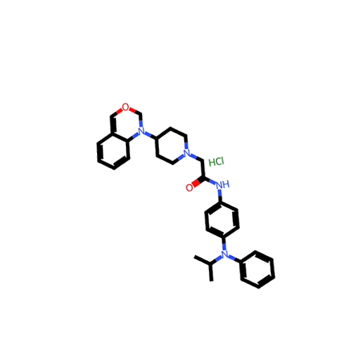 CC(C)N(c1ccccc1)c1ccc(NC(=O)CN2CCC(N3COC=C4C=CC=CC43)CC2)cc1.Cl